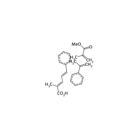 C=C(C)C(=O)OC.C=C(C)c1ccccc1.CC(=CC=Cc1ccccc1)C(=O)O